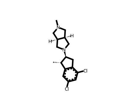 C[C@H]1c2cc(Cl)cc(Cl)c2C[C@@H]1N1C[C@H]2CN(C)C[C@H]2C1